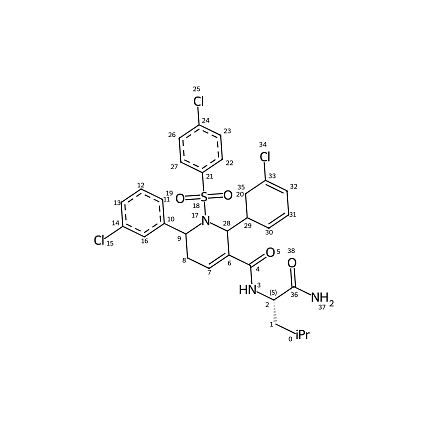 CC(C)C[C@H](NC(=O)C1=CCC(c2cccc(Cl)c2)N(S(=O)(=O)c2ccc(Cl)cc2)C1C1C=CC=C(Cl)C1)C(N)=O